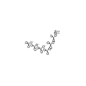 [Er+3].[Fe+3].[O]=[V](=[O])[O-].[O]=[V](=[O])[O-].[O]=[V](=[O])[O-].[O]=[V](=[O])[O-].[O]=[V](=[O])[O-].[O]=[V](=[O])[O-]